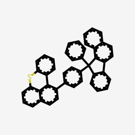 c1ccc(C2(c3ccc(-c4ccc5cccc6c5c4-c4ccccc4S6)cc3)c3ccccc3-c3ccc4ccccc4c32)cc1